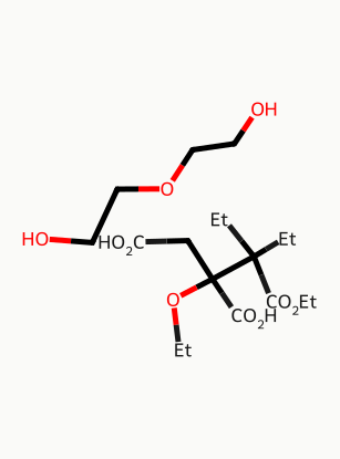 CCOC(=O)C(CC)(CC)C(CC(=O)O)(OCC)C(=O)O.OCCOCCO